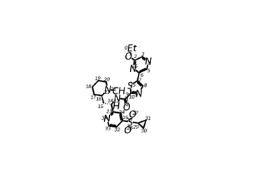 CCOc1cncc(-c2cnc(C(=O)N[C@@H](C[C@H]3CCCCN3C)c3cc(S(=O)(=O)C4CC4)ccn3)s2)n1